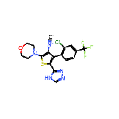 [C-]#[N+]c1c(N2CCOCC2)sc(-c2nnc[nH]2)c1-c1ccc(C(F)(F)F)cc1Cl